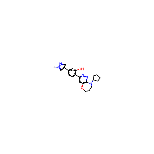 Cn1cc(-c2ccc(-c3cc4c(nn3)N(C3CCCC3)CCCO4)c(O)c2)cn1